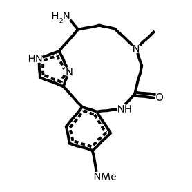 CNc1ccc2c(c1)NC(=O)CN(C)CCC(N)c1nc-2c[nH]1